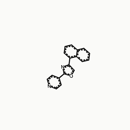 c1ccc2c(-c3coc(-c4ccncc4)n3)cccc2c1